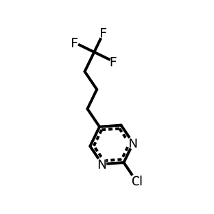 FC(F)(F)CCCc1cnc(Cl)nc1